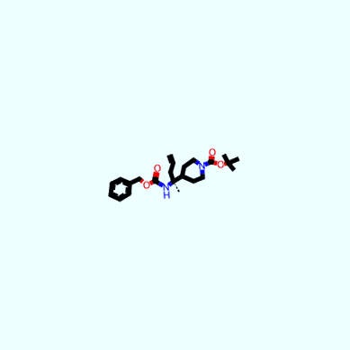 C=CC[C@](C)(NC(=O)OCc1ccccc1)C1CCN(C(=O)OC(C)(C)C)CC1